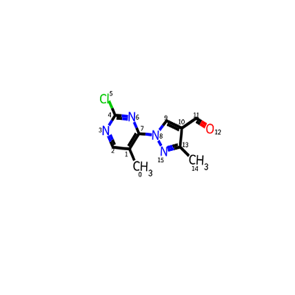 Cc1cnc(Cl)nc1-n1cc(C=O)c(C)n1